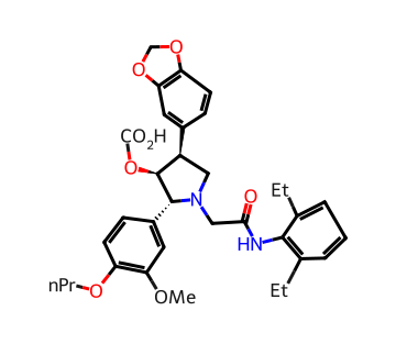 CCCOc1ccc([C@@H]2[C@@H](OC(=O)O)[C@@H](c3ccc4c(c3)OCO4)CN2CC(=O)Nc2c(CC)cccc2CC)cc1OC